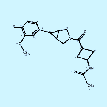 COC(=O)NC1CC(C(=O)N2CC3C(C2)C3c2ccc(C)c(OC(F)(F)F)c2)C1